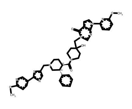 COc1ccc(-c2ncc(CN3CC[C@@H](C(=O)N4CCC(O)(Cn5cnc6c(ccn6-c6cccc(OC)n6)c5=O)CC4)[C@H](c4ccccc4)C3)s2)cn1